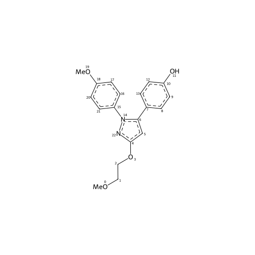 COCCOc1cc(-c2ccc(O)cc2)n(-c2ccc(OC)cc2)n1